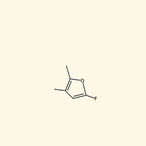 Cc1cc(F)oc1C